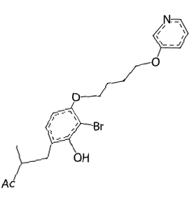 CC(=O)C(C)Cc1ccc(OCCCCOc2cccnc2)c(Br)c1O